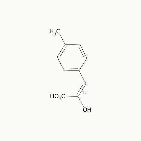 Cc1ccc(/C=C(/O)C(=O)O)cc1